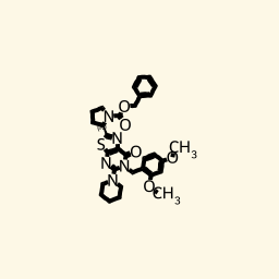 COc1ccc(Cn2c(N3CCCCC3)nc3sc([C@H]4CCCN4C(=O)OCc4ccccc4)nc3c2=O)c(OC)c1